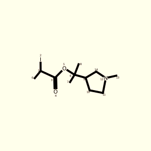 CC(I)C(=O)OC(C)(C)C1CCN(C)C1